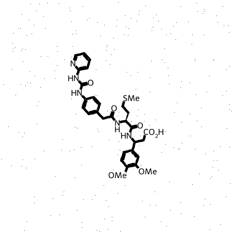 COc1ccc(C(CC(=O)O)NC(=O)[C@H](CCSC)NC(=O)Cc2ccc(NC(=O)Nc3ccccn3)cc2)cc1OC